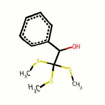 CSC(SC)(SC)C(O)c1ccccc1